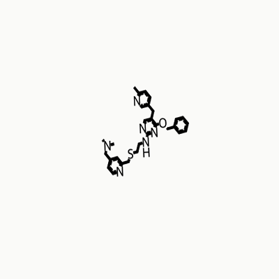 Cc1ccc(Cc2cnc(NCCSCc3cc(CN(C)C)ccn3)nc2OCc2ccccc2)cn1